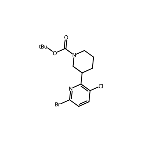 CC(C)(C)OC(=O)N1CCCC(c2nc(Br)ccc2Cl)C1